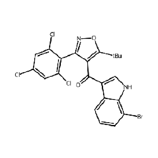 CC(C)(C)c1onc(-c2c(Cl)cc(Cl)cc2Cl)c1C(=O)c1c[nH]c2c(Br)cccc12